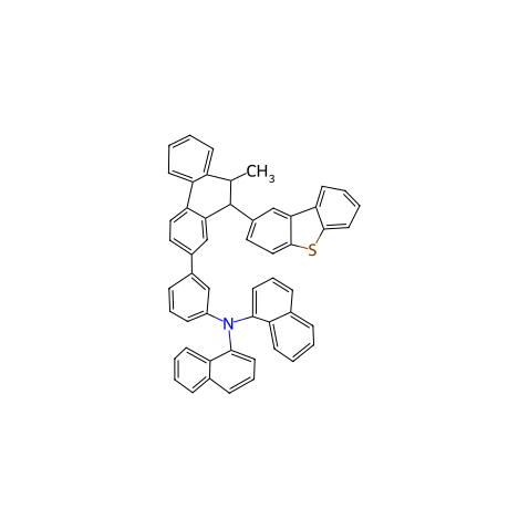 CC1c2ccccc2-c2ccc(-c3cccc(N(c4cccc5ccccc45)c4cccc5ccccc45)c3)cc2C1c1ccc2sc3ccccc3c2c1